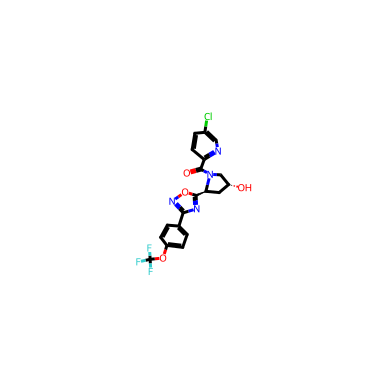 O=C(c1ccc(Cl)cn1)N1C[C@H](O)C[C@H]1c1nc(-c2ccc(OC(F)(F)F)cc2)no1